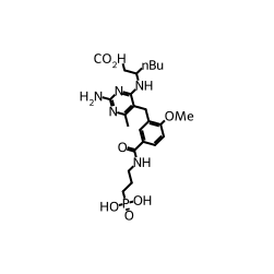 CCCCC(CC(=O)O)Nc1nc(N)nc(C)c1Cc1cc(C(=O)NCCCP(=O)(O)O)ccc1OC